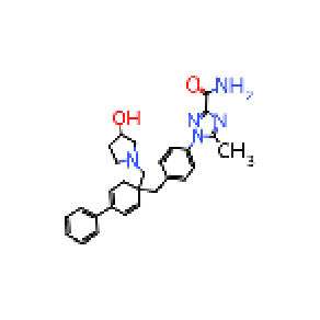 Cc1nc(C(N)=O)nn1-c1ccc(C[C@@]2(CN3CCC(O)C3)C=CC(c3ccccc3)=CC2)cc1